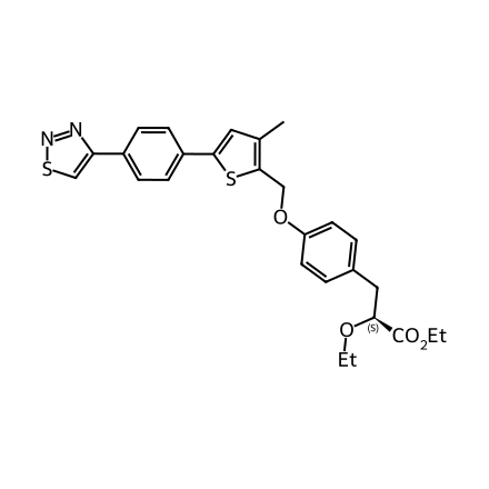 CCOC(=O)[C@H](Cc1ccc(OCc2sc(-c3ccc(-c4csnn4)cc3)cc2C)cc1)OCC